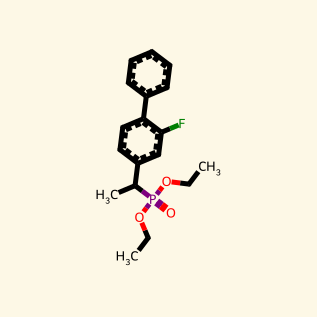 CCOP(=O)(OCC)C(C)c1ccc(-c2ccccc2)c(F)c1